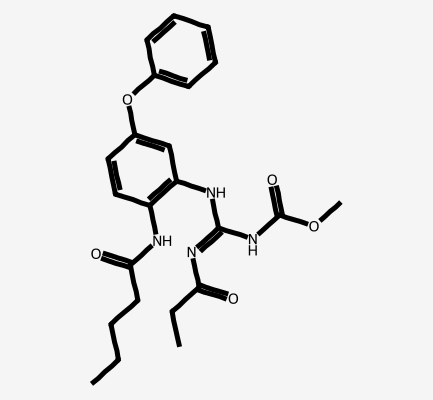 CCCCC(=O)Nc1ccc(Oc2ccccc2)cc1NC(=NC(=O)CC)NC(=O)OC